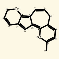 CC1=CC=C2CC=CC3=C4OCC=CC4=CC3=C2O1